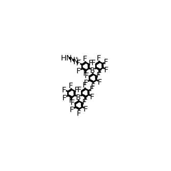 Fc1c(F)c(F)c(B(c2c(F)c(F)c(F)c(F)c2F)c2c(F)c(F)c(F)c(F)c2F)c(F)c1F.Fc1c(F)c(F)c(B(c2c(F)c(F)c(F)c(F)c2F)c2c(F)c(F)c(F)c(F)c2F)c(F)c1F.[N-]=[N+]=N